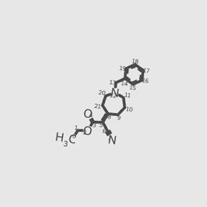 CCOC(=O)/C(C#N)=C1/CCCN(Cc2ccccc2)CC1